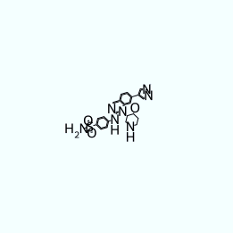 Cn1cc(-c2ccc3cnc(Nc4ccc(S(N)(=O)=O)cc4)nc3c2OC2CCNCC2)cn1